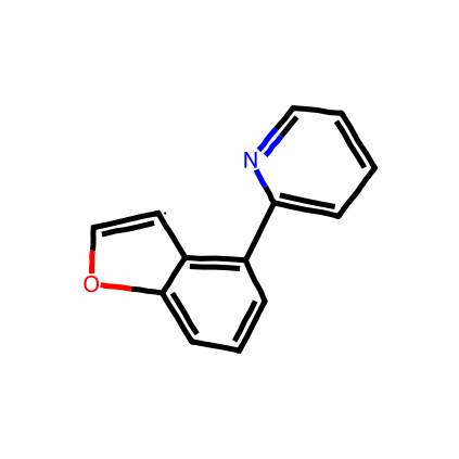 [c]1coc2cccc(-c3ccccn3)c12